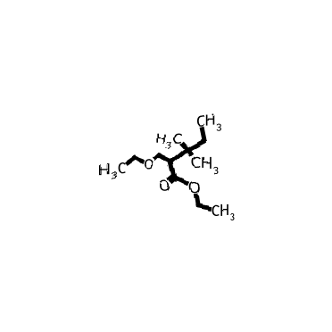 CCOCC(C(=O)OCC)C(C)(C)CC